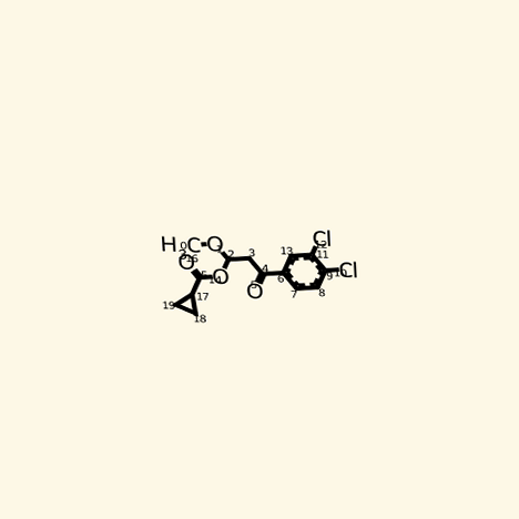 COC(CC(=O)c1ccc(Cl)c(Cl)c1)OC(=O)C1CC1